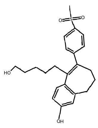 CS(=O)(=O)c1ccc(C2=C(CCCCCO)c3ccc(O)cc3CCC2)cc1